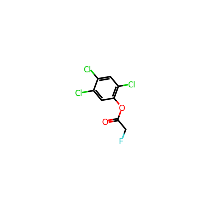 O=C(CF)Oc1cc(Cl)c(Cl)cc1Cl